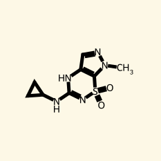 Cn1ncc2c1S(=O)(=O)N=C(NC1CC1)N2